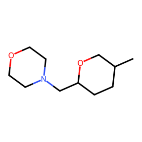 CC1CCC(CN2CCOCC2)OC1